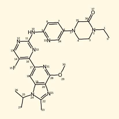 CCN1CCN(c2ccc(Nc3ncc(F)c(-c4cc5c(nc(C)n5C(C)C)c(OC)n4)n3)nc2)CC1=O